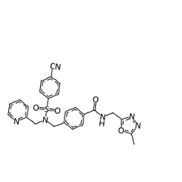 Cc1nnc(CNC(=O)c2ccc(CN(Cc3ccccn3)S(=O)(=O)c3ccc(C#N)cc3)cc2)o1